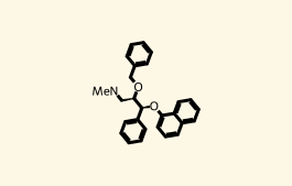 CNC[C@@H](OCc1ccccc1)[C@@H](Oc1cccc2ccccc12)c1ccccc1